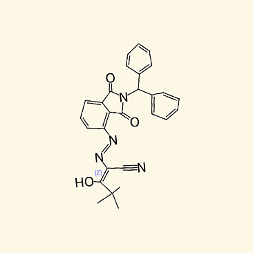 CC(C)(C)/C(O)=C(\C#N)N=Nc1cccc2c1C(=O)N(C(c1ccccc1)c1ccccc1)C2=O